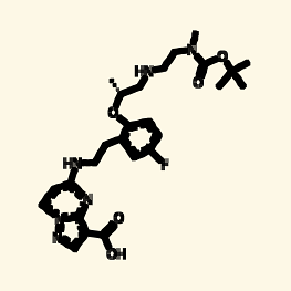 C[C@H](CNCCN(C)C(=O)OC(C)(C)C)Oc1ccc(F)cc1CCNc1ccn2ncc(C(=O)O)c2n1